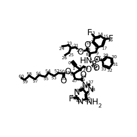 C#CC1(CO[P@@](=O)(NC(Cc2cc(F)cc(F)c2)C(=O)OCC(CC)CC)Oc2ccccc2)OC(n2cnc3c(N)nc(F)nc32)CC1OC(=O)CCCCCCCCC